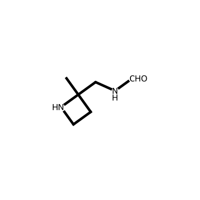 CC1(CNC=O)CCN1